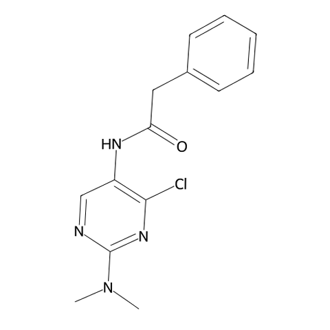 CN(C)c1ncc(NC(=O)Cc2ccccc2)c(Cl)n1